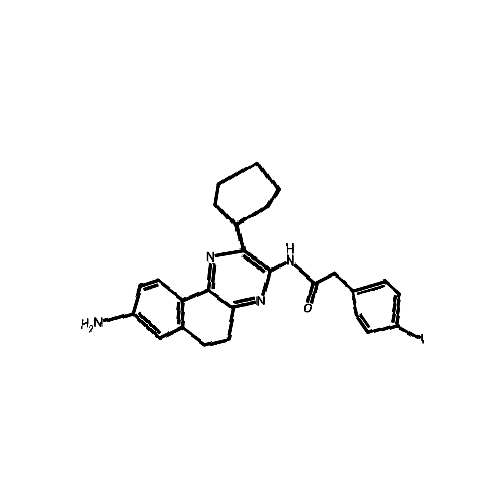 Nc1ccc2c(c1)CCc1nc(NC(=O)Cc3ccc(I)cc3)c(C3CCCCC3)nc1-2